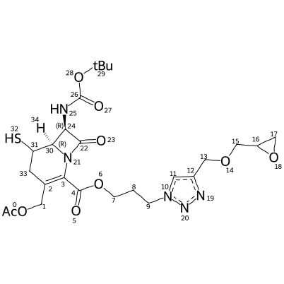 CC(=O)OCC1=C(C(=O)OCCCn2cc(COCC3CO3)nn2)N2C(=O)[C@H](NC(=O)OC(C)(C)C)[C@@H]2C(S)C1